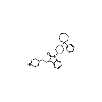 O=c1n(CCN2CCNCC2)c2ccccc2n1C1CCN(C2(c3ccccc3)CCCCCC2)CC1